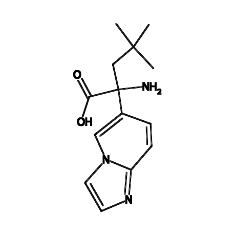 CC(C)(C)CC(N)(C(=O)O)c1ccc2nccn2c1